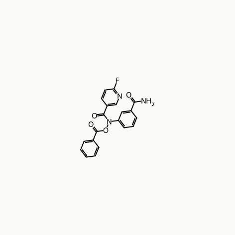 NC(=O)c1cccc(N(OC(=O)c2ccccc2)C(=O)c2ccc(F)nc2)c1